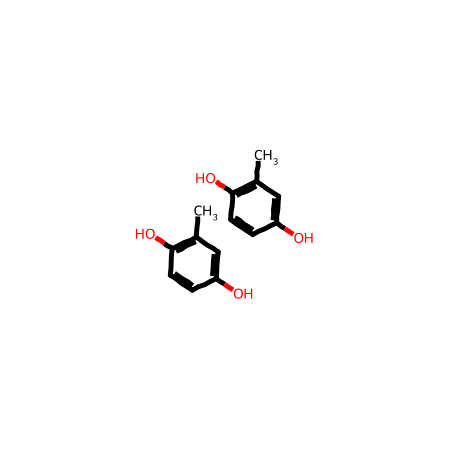 Cc1cc(O)ccc1O.Cc1cc(O)ccc1O